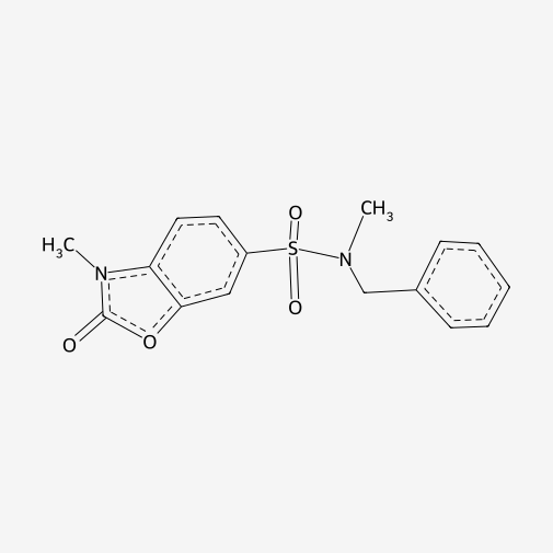 CN(Cc1ccccc1)S(=O)(=O)c1ccc2c(c1)oc(=O)n2C